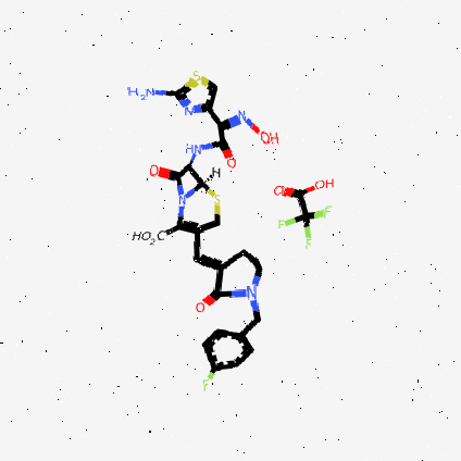 Nc1nc(/C(=N/O)C(=O)N[C@@H]2C(=O)N3C(C(=O)O)=C(/C=C4\CCN(Cc5ccc(F)cc5)C4=O)CS[C@H]23)cs1.O=C(O)C(F)(F)F